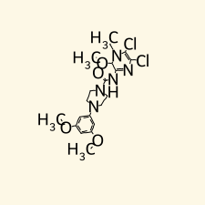 CCN1C(Cl)=C(Cl)N=C(NC(=O)N2CCN(c3cc(OC)cc(OC)c3)CC2)C1OC